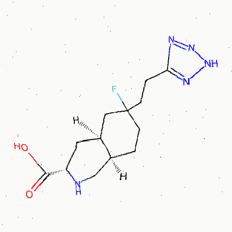 O=C(O)[C@@H]1C[C@H]2CC(F)(CCc3nn[nH]n3)CC[C@H]2CN1